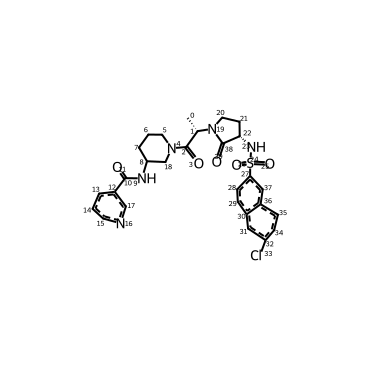 C[C@@H](C(=O)N1CCCC(NC(=O)c2cccnc2)C1)N1CC[C@H](NS(=O)(=O)c2ccc3cc(Cl)ccc3c2)C1=O